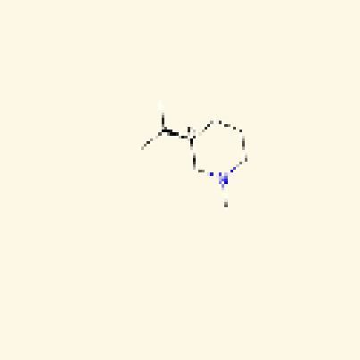 CC(C)[C@H]1CCCN(C)C1